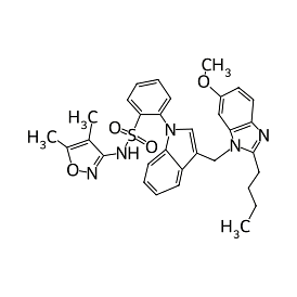 CCCCc1nc2ccc(OC)cc2n1Cc1cn(-c2ccccc2S(=O)(=O)Nc2noc(C)c2C)c2ccccc12